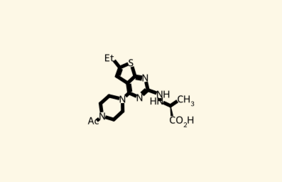 CCc1cc2c(N3CCN(C(C)=O)CC3)nc(NN[C@@H](C)C(=O)O)nc2s1